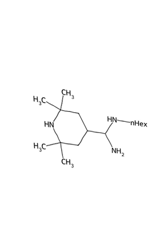 CCCCCCNC(N)C1CC(C)(C)NC(C)(C)C1